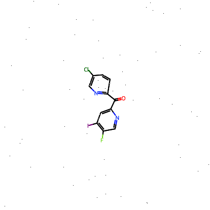 O=C(c1ccc(Cl)cn1)c1cc(I)c(F)cn1